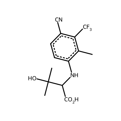 Cc1c(NC(C(=O)O)C(C)(C)O)ccc(C#N)c1C(F)(F)F